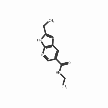 CCNC(=O)c1cnc2[nH]c(CC)nc2c1